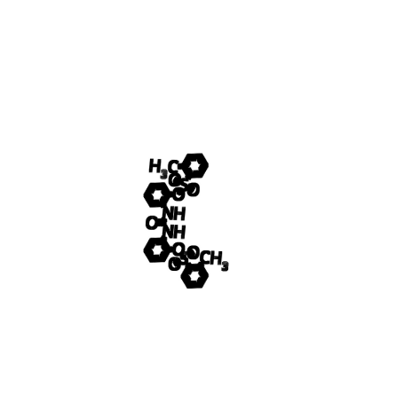 Cc1ccccc1S(=O)(=O)Oc1ccccc1NC(=O)Nc1ccccc1OS(=O)(=O)c1ccccc1C